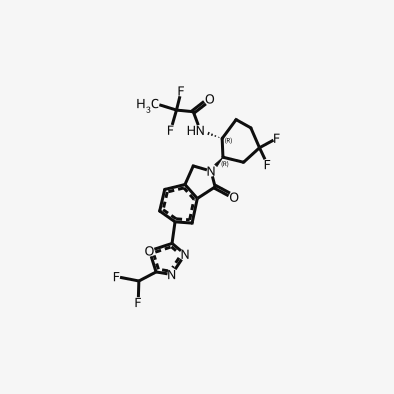 CC(F)(F)C(=O)N[C@@H]1CCC(F)(F)C[C@H]1N1Cc2ccc(-c3nnc(C(F)F)o3)cc2C1=O